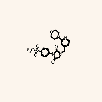 O=C1CN(Cc2ccnc(N3CCOCC3)c2)C(=O)N1c1ccc(S(=O)(=O)C(F)(F)F)cc1